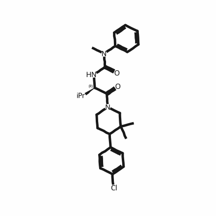 CC(C)[C@@H](NC(=O)N(C)c1ccccc1)C(=O)N1CCC(c2ccc(Cl)cc2)C(C)(C)C1